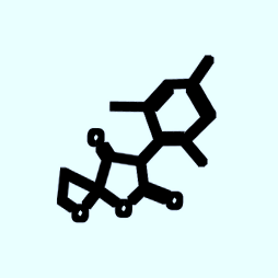 Cc1cc(C)c(C2C(=O)OC3(CCO3)C2=O)c(C)c1